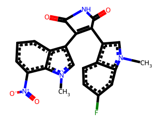 Cn1cc(C2=C(c3cn(C)c4c([N+](=O)[O-])cccc34)C(=O)NC2=O)c2ccc(F)cc21